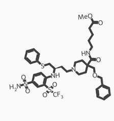 COC(=O)CCCCNC(=O)C1(COCc2ccccc2)CCN(CC[C@H](CSc2ccccc2)Nc2ccc(S(N)(=O)=O)cc2S(=O)(=O)C(F)(F)F)CC1